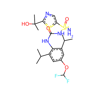 CC(C)c1cc(OC(F)F)cc(C(C)C)c1NC(=O)N[SH](N)(=O)c1cnc(C(C)(C)O)s1